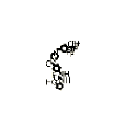 O=C(Nc1ccc(C(=O)N2CCN(Cc3ccc(C(O)(C(F)(F)F)C(F)(F)F)cc3)CC2)cc1F)N[C@H]1CCC[C@H]1O